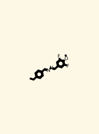 CCc1ccc(C=NN=Cc2cc(F)c(OC)c(F)c2)cc1